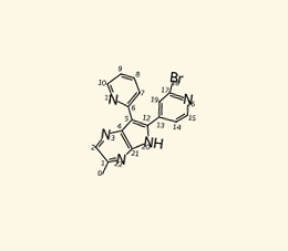 Cc1cnc2c(-c3ccccn3)c(-c3ccnc(Br)c3)[nH]c2n1